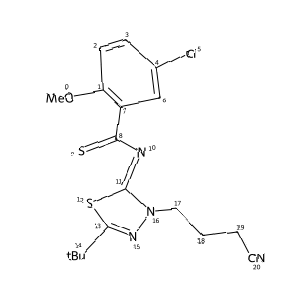 COc1ccc(Cl)cc1C(=S)/N=c1\sc(C(C)(C)C)nn1CCCC#N